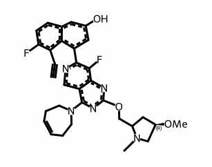 C#Cc1c(F)ccc2cc(O)cc(-c3ncc4c(N5CCC=CCC5)nc(OCC5C[C@@H](OC)CN5C)nc4c3F)c12